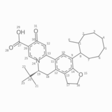 CC1CCCCCCC1c1cc2c(c3c1OCC3)C[C@@H](C(C)(C)C)n1cc(C(=O)O)c(=O)cc1-2